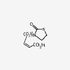 O=C(O)/C=C\C(=O)O.O=C1NCCS1